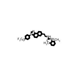 Cc1cccc(C)c1NC(=S)NCCc1ccc2c(ccc3c2ncn3-c2ccc(OC(F)(F)F)cc2)c1